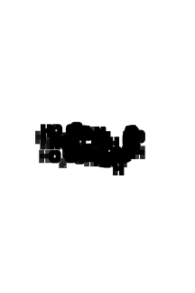 Cc1nc2ncc(CNc3ccc(C(=O)N[C@H](CCC(=O)N[C@H](CCCNC(=N)N)C(=O)N[C@H](CC(=O)O)C(=O)NC(CSSCCC(=O)Nc4ccc5[nH]c(C(=O)Nc6ccc7[nH]c(C(=O)N8CC9CC9%10C8=CC(=O)c8ccccc8%10)cc7c6)cc5c4)C(=O)O)C(=O)O)cc3)nc2c(=O)[nH]1